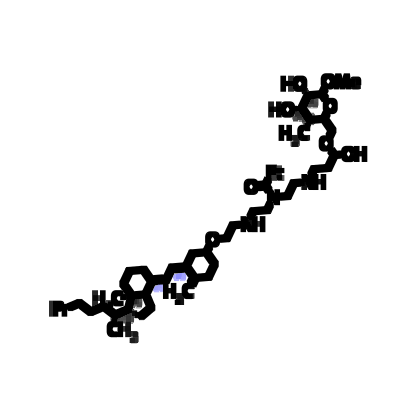 C=C1CCC(OCCNCCN(CCNCCC(O)OCC2OC(OC)[C@@H](O)[C@@H](O)[C@H]2C)C(=O)CC)C/C1=C/C=C1\CCC[C@@]2(C)C1CC[C@@H]2[C@H](C)CCCC(C)C